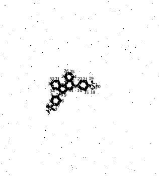 C[Si](C)(C)c1ccc(-c2cc3cc(-c4ccc([Si](C)(C)C)cc4)c4ccccc4c3c3ccccc23)cc1